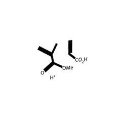 C=C(C)C(=O)OC.C=CC(=O)O.[H+]